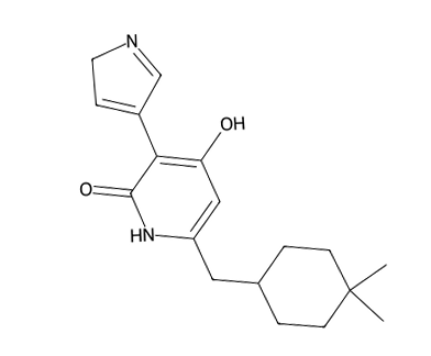 CC1(C)CCC(Cc2cc(O)c(C3=CCN=C3)c(=O)[nH]2)CC1